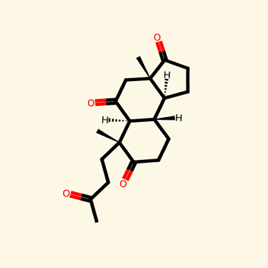 CC(=O)CC[C@@]1(C)C(=O)CC[C@@H]2[C@@H]1C(=O)C[C@]1(C)C(=O)CC[C@@H]21